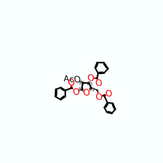 CC(=O)O[C@H]1[C@@H](OC(=O)c2ccccc2)O[C@H](COC(=O)c2ccccc2)[C@H]1OC(=O)c1ccccc1